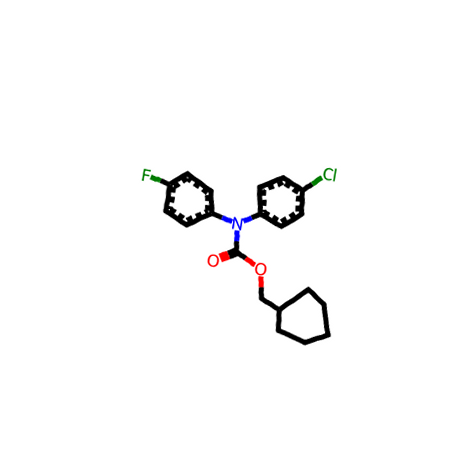 O=C(OCC1CCCCC1)N(c1ccc(F)cc1)c1ccc(Cl)cc1